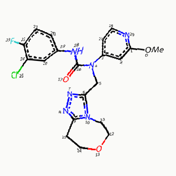 COc1cc(N(Cc2nnc3n2CCOCC3)C(=O)Nc2ccc(F)c(Cl)c2)ccn1